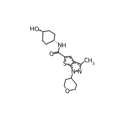 Cc1nn(C2CCOCC2)c2sc(C(=O)N[C@H]3CC[C@H](O)CC3)cc12